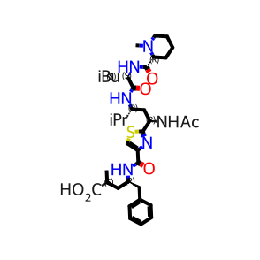 CC[C@H](C)[C@H](NC(=O)[C@H]1CCCCN1C)C(=O)N[C@H](C[C@@H](NC(C)=O)c1nc(C(=O)N[C@@H](Cc2ccccc2)C[C@H](C)C(=O)O)cs1)C(C)C